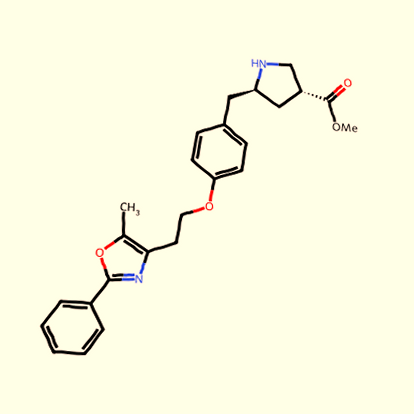 COC(=O)[C@H]1CN[C@H](Cc2ccc(OCCc3nc(-c4ccccc4)oc3C)cc2)C1